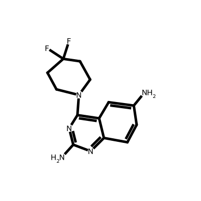 Nc1ccc2nc(N)nc(N3CCC(F)(F)CC3)c2c1